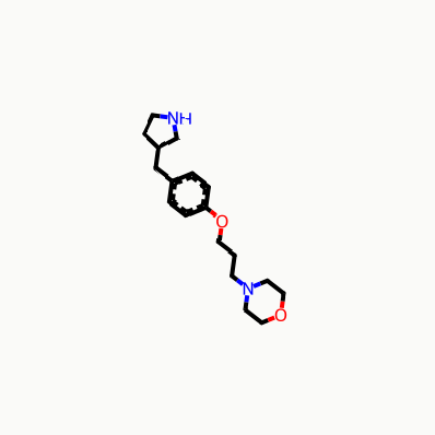 c1cc(OCCCN2CCOCC2)ccc1CC1CCNC1